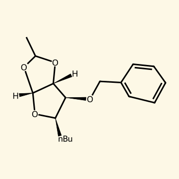 CCCC[C@H]1O[C@@H]2OC(C)O[C@@H]2[C@H]1OCc1ccccc1